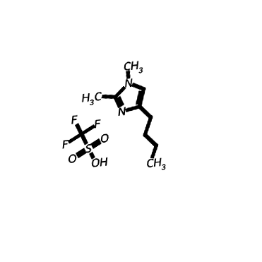 CCCCc1cn(C)c(C)n1.O=S(=O)(O)C(F)(F)F